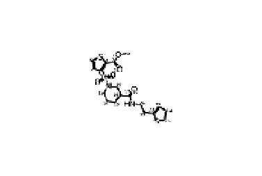 COC(=O)c1sccc1S(=O)(=O)N1CCCC(C(=O)NCCc2cccs2)C1